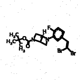 CC(C)(C)OC(=O)N1C[C@@H]2C1CN2c1cc(C=C(Br)Br)ccc1F